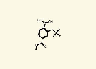 COC(=O)c1ccc(B(O)O)c(CC(C)(C)C)c1